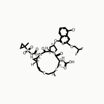 C[C@H]1CCC=C[C@@H]2C[C@@]2(C(=O)NS(=O)(=O)C2(C)CC2)NC(=O)[C@@H]2C[C@@H](Oc3nc(OCC(F)F)cc4c(Cl)cccc34)CN2C(=O)[C@@H](NC(=O)O)[C@H](C)C1